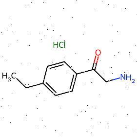 CCc1ccc(C(=O)CN)cc1.Cl